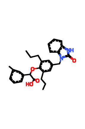 CCCc1cc(Cn2c(=O)[nH]c3ccccc32)cc(CCC)c1OC(C(=O)O)c1cccc(C)c1